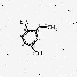 C=Cc1cc(C)ccc1CC